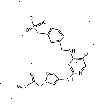 CNC(=O)Cn1cc(Nc2ncc(Cl)c(NCc3cccc(CS(C)(=O)=O)c3)n2)cn1